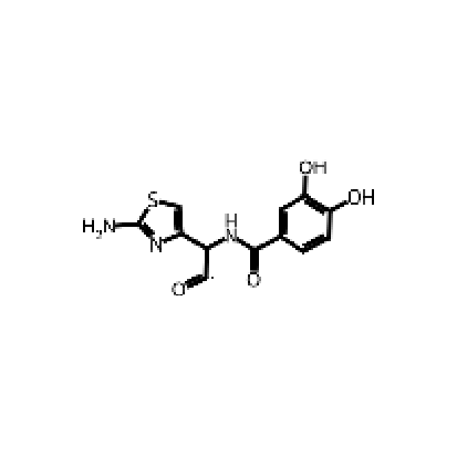 Nc1nc(C([C]=O)NC(=O)c2ccc(O)c(O)c2)cs1